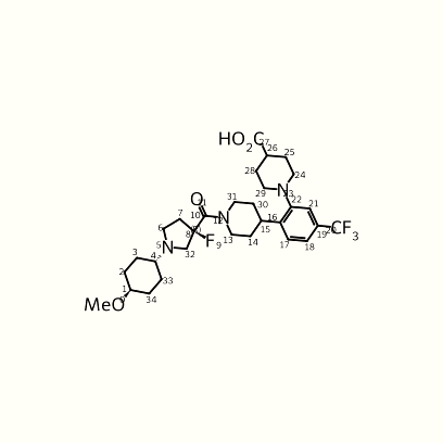 CO[C@H]1CC[C@H](N2CC[C@](F)(C(=O)N3CCC(c4ccc(C(F)(F)F)cc4N4CCC(C(=O)O)CC4)CC3)C2)CC1